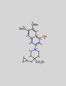 CCOC(=O)C1(CC2CC2)CCN(c2nc(O)c3cc(OC)c(OC)cc3n2)CC1